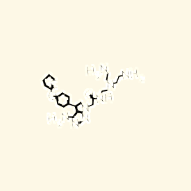 NCCN(CCN)CCNC(=O)Cn1cc(-c2ccc(Oc3ccccc3)cc2)c2c(N)ncnc21